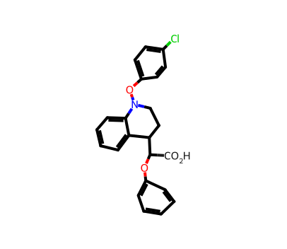 O=C(O)C(Oc1ccccc1)C1CCN(Oc2ccc(Cl)cc2)c2ccccc21